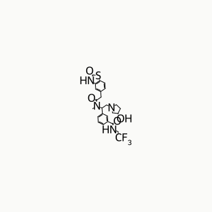 CN(C(=O)Cc1ccc2sc(=O)[nH]c2c1)C(CN1CC[C@H](O)C1)c1cccc(C(=O)NCC(F)(F)F)c1